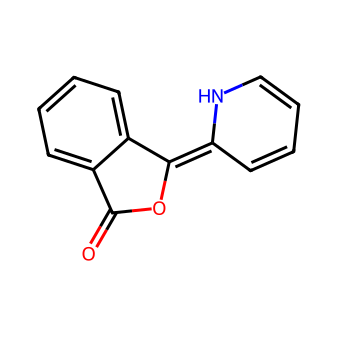 O=C1OC(=C2C=CC=CN2)c2ccccc21